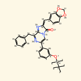 CC(C)(C)[Si](C)(C)Oc1cccc(C2=CN3C(=O)C(=Cc4ccc5c(c4)OCO5)N=C3C(Cc3ccccc3)=N2)c1